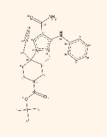 C[C@@H]1CN(C(=O)OC(C)(C)C)CCC1(CC#N)n1cc(C(N)=O)c(Nc2ccccc2)n1